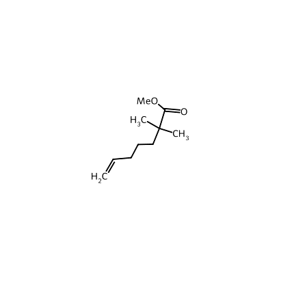 C=CCCCC(C)(C)C(=O)OC